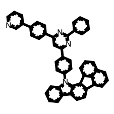 c1ccc(-c2nc(-c3ccc(-c4cccnc4)cc3)cc(-c3ccc(-n4c5ccccc5c5ccc6c(c54)-c4cccc5cccc-6c45)cc3)n2)cc1